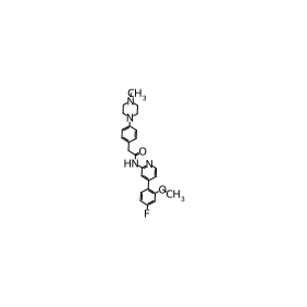 COc1cc(F)ccc1-c1ccnc(NC(=O)Cc2ccc(N3CCN(C)CC3)cc2)c1